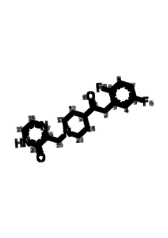 O=C(Cc1cc(F)ccc1F)C1CCN(Cc2ncc[nH]c2=O)CC1